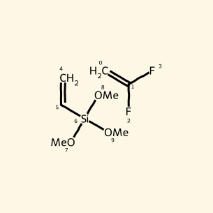 C=C(F)F.C=C[Si](OC)(OC)OC